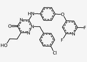 O=c1nc(Nc2ccc(Oc3cc(F)nc(F)c3)cc2)n(Cc2ccc(Cl)cc2)nc1CCO